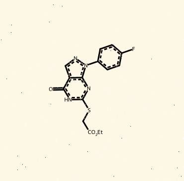 CCOC(=O)CSc1nc2c(cnn2-c2ccc(F)cc2)c(=O)[nH]1